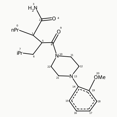 CCCC(C(N)=O)C(CC(C)C)C(=O)N1CCN(c2ccccc2OC)CC1